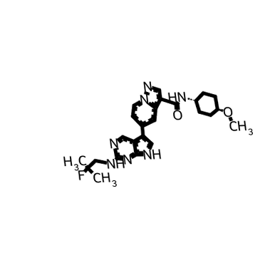 CO[C@H]1CC[C@H](NC(=O)c2cnn3ccc(-c4c[nH]c5nc(NCC(C)(C)F)ncc45)cc23)CC1